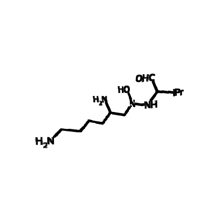 CC(C)C(C=O)NN(O)CC(N)CCCCN